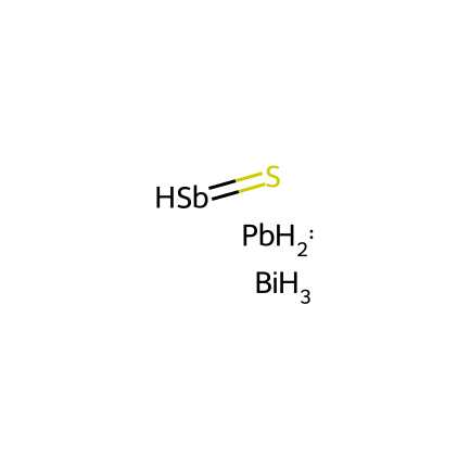 [BiH3].[PbH2].[S]=[SbH]